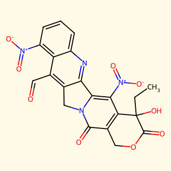 CCC1(O)C(=O)OCc2c1c([N+](=O)[O-])c1n(c2=O)Cc2c-1nc1cccc([N+](=O)[O-])c1c2C=O